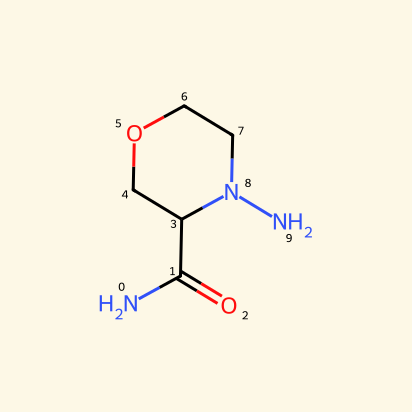 NC(=O)C1COCCN1N